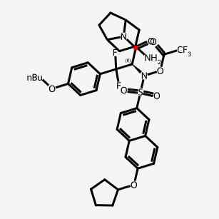 CCCCOc1ccc(C(F)(F)[C@@H](C(=O)N2C3CCC2CC(N)C3)N(OC(=O)C(F)(F)F)S(=O)(=O)c2ccc3cc(OC4CCCC4)ccc3c2)cc1